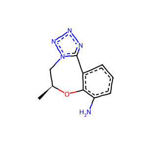 C[C@H]1Cn2nnnc2-c2cccc(N)c2O1